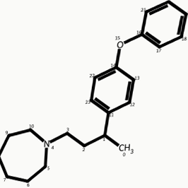 CC(CCN1CCCCCC1)c1ccc(Oc2ccccc2)cc1